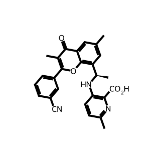 Cc1cc([C@@H](C)Nc2ccc(C)nc2C(=O)O)c2oc(-c3cccc(C#N)c3)c(C)c(=O)c2c1